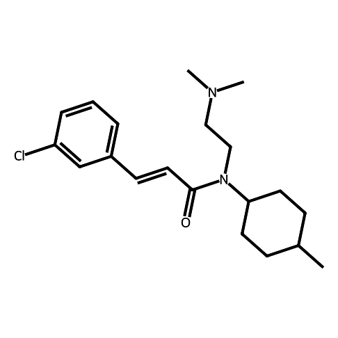 CC1CCC(N(CCN(C)C)C(=O)C=Cc2cccc(Cl)c2)CC1